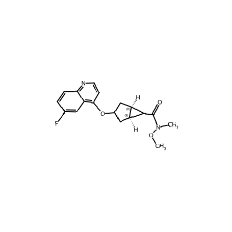 CON(C)C(=O)C1[C@H]2CC(Oc3ccnc4ccc(F)cc34)C[C@@H]12